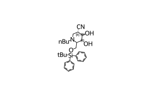 CCCCN1C[C@H](C#N)[C@@H](O)[C@H](O)C1CO[Si](c1ccccc1)(c1ccccc1)C(C)(C)C